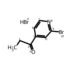 Br.CCC(=O)c1ccnc(Br)c1